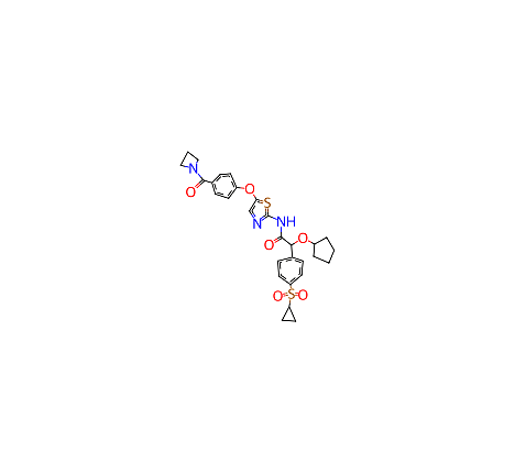 O=C(Nc1ncc(Oc2ccc(C(=O)N3CCC3)cc2)s1)C(OC1CCCC1)c1ccc(S(=O)(=O)C2CC2)cc1